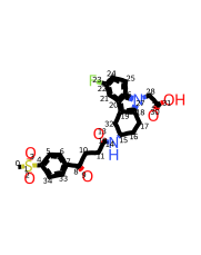 CS(=O)(=O)c1ccc(C(=O)CCC(=O)NC2CCc3c(c4cc(F)ccc4n3CC(=O)O)C2)cc1